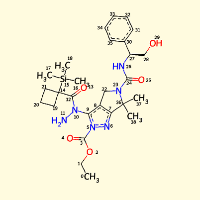 CCOC(=O)n1nc2c(c1N(N)C(=O)C1([Si](C)(C)C)CCC1)CN(C(=O)N[C@H](CO)c1ccccc1)C2(C)C